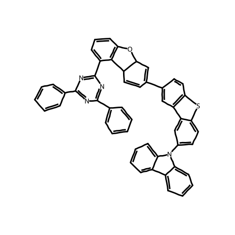 C1=CC2c3c(cccc3-c3nc(-c4ccccc4)nc(-c4ccccc4)n3)OC2C=C1c1ccc2sc3ccc(-n4c5ccccc5c5ccccc54)cc3c2c1